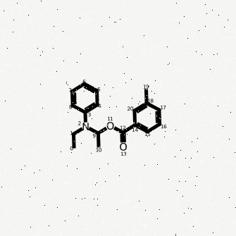 CCN(c1ccccc1)C(C)OC(=O)c1cccc(C)c1